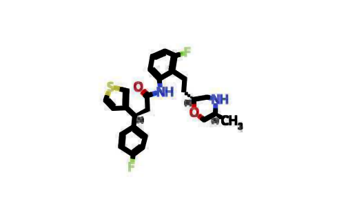 C[C@H]1CO[C@H](CCc2c(F)cccc2NC(=O)C[C@@H](c2ccc(F)cc2)c2ccsc2)CN1